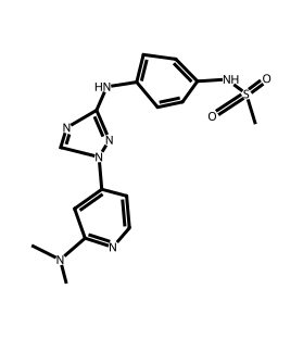 CN(C)c1cc(-n2cnc(Nc3ccc(NS(C)(=O)=O)cc3)n2)ccn1